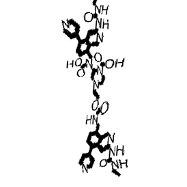 CCNC(=O)Nc1cc2c(-c3ccncc3)ccc(CNC(=O)OCCN3CCN(C(=O)O)C(N(Cc4ccc(-c5ccncc5)c5cc(NC(=O)NCC)ncc45)C(=O)O)C3)c2cn1